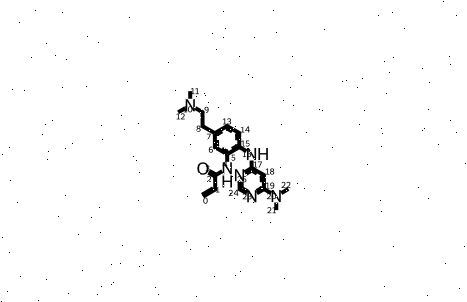 C=CC(=O)Nc1cc(CCN(C)C)ccc1Nc1cc(N(C)C)ncn1